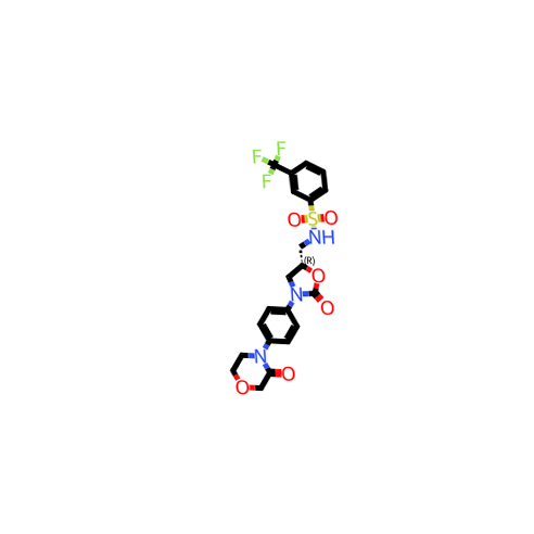 O=C1COCCN1c1ccc(N2C[C@H](CNS(=O)(=O)c3cccc(C(F)(F)F)c3)OC2=O)cc1